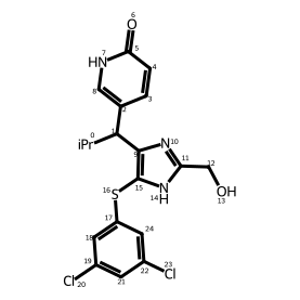 CC(C)C(c1ccc(=O)[nH]c1)c1nc(CO)[nH]c1Sc1cc(Cl)cc(Cl)c1